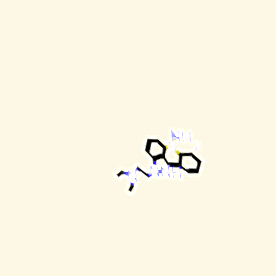 CCN(CC)CCN1NC2=c3ccccc3=S(N)c3cccc1c32